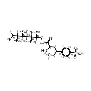 CCC(CC(C)C(=O)OCC(F)(F)C(F)(F)C(F)(F)C(F)(F)C(F)(F)C(F)F)c1ccc(S(=O)(=O)O)cc1